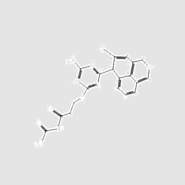 CC(=O)NC(=O)CCSc1nc(N)nc(C2C(Cl)=CC3=c4c2cccc4=COC3)n1